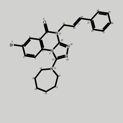 O=c1c2cc(Br)ccc2n2c(N3CCCCCC3)nnc2n1C/C=C/c1ccccc1